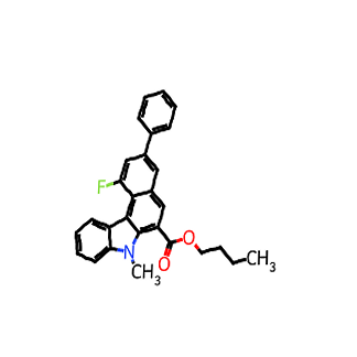 CCCCOC(=O)c1cc2cc(-c3ccccc3)cc(F)c2c2c3ccccc3n(C)c12